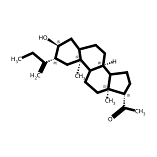 C=C(CC)[C@H]1C[C@@]2(C)C(CC[C@@H]3C2CC[C@@]2(C)C3CC[C@@H]2C(C)=O)C[C@@H]1O